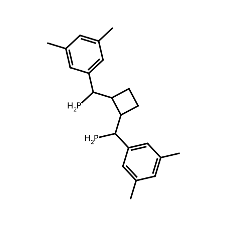 Cc1cc(C)cc(C(P)C2CCC2C(P)c2cc(C)cc(C)c2)c1